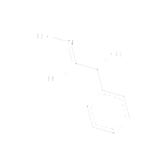 C/N=C(\C)C(C)c1ccccc1